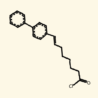 O=C(Cl)CCCCC/C=C/c1ccc(-c2ccccc2)cc1